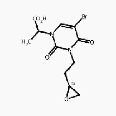 CC(C(=O)O)n1cc(Br)c(=O)n(CC[C@H]2CO2)c1=O